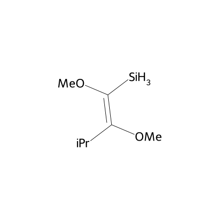 COC([SiH3])=C(OC)C(C)C